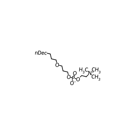 CCCCCCCCCCCCCOCCCOP(=O)([O-])OCC[N+](C)(C)C